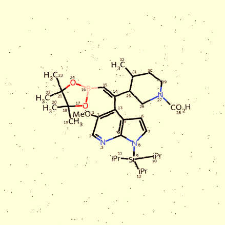 COc1cnc2c(ccn2[Si](C(C)C)(C(C)C)C(C)C)c1/C(=C\B1OC(C)(C)C(C)(C)O1)C1CN(C(=O)O)CCC1C